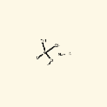 O[Si](O)(O)OF.[KH].[NaH]